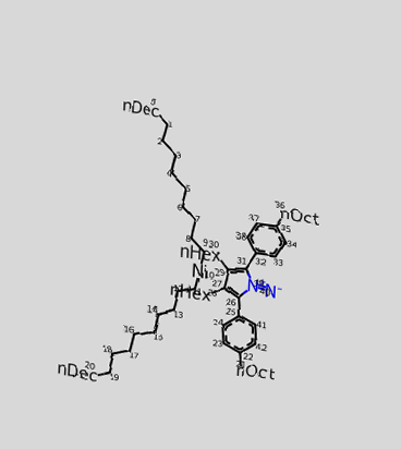 CCCCCCCCCCCCCCCCCC[CH2][Ni][CH2]CCCCCCCCCCCCCCCCCC.CCCCCCCCc1ccc(C2=C(CCCCCC)C(CCCCCC)=C(c3ccc(CCCCCCCC)cc3)[N+]2=[N-])cc1